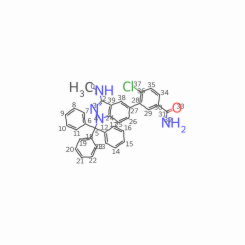 CNc1nn(C(c2ccccc2)(c2ccccc2)c2ccccc2)c2ccc(-c3cc(C(N)=O)ccc3Cl)cc12